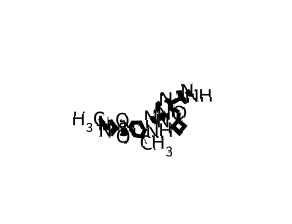 C[C@@H]1CN(S(=O)(=O)c2cnn(C)c2)CC[C@@H]1Nc1nc2cnc(-c3cn[nH]c3)c(OC3CCC3)n2n1